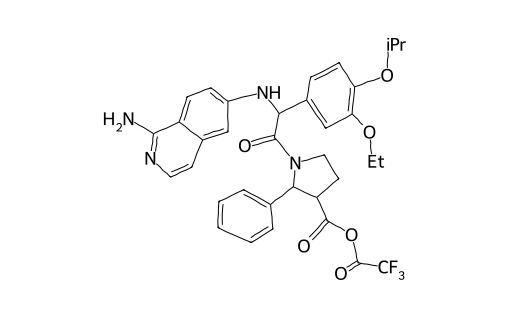 CCOc1cc(C(Nc2ccc3c(N)nccc3c2)C(=O)N2CCC(C(=O)OC(=O)C(F)(F)F)C2c2ccccc2)ccc1OC(C)C